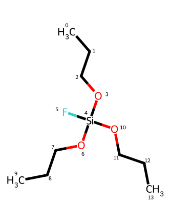 CCCO[Si](F)(OCCC)OCCC